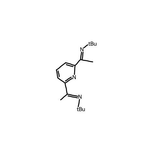 CC(=NC(C)(C)C)c1cccc(C(C)=NC(C)(C)C)n1